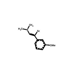 COc1cccc(C(=CN(C)C)C(C)=O)c1